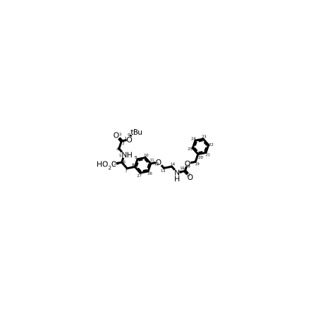 CC(C)(C)OC(=O)CNC(Cc1ccc(OCCNC(=O)OCc2ccccc2)cc1)C(=O)O